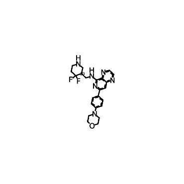 FC1(F)CCNC[C@H]1CNc1nc(-c2ccc(N3CCOCC3)cc2)cc2nccnc12